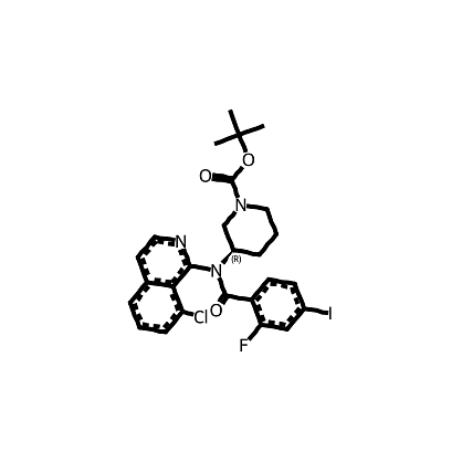 CC(C)(C)OC(=O)N1CCC[C@@H](N(C(=O)c2ccc(I)cc2F)c2nccc3cccc(Cl)c23)C1